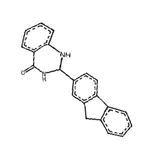 O=C1NC(c2ccc3c(c2)Cc2ccccc2-3)Nc2ccccc21